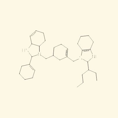 CCCC(CC)C1NC2=C(CCCC2)N1CC1=CCCC(CN2C(C3=CCCCC3)NC3C=CCCC32)C1